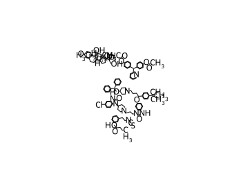 CC(=O)Oc1ccc(C(c2ccc(OC(C)=O)cc2)c2ccccn2)cc1.CC(C)(C)c1ccc(C(=O)CCCN2CCC(OC(c3ccccc3)c3ccccc3)CC2)cc1.CCCC(=O)O.C[C@]12C=CC(=O)C=C1CC[C@@H]1[C@@H]2[C@@H](O)C[C@@]2(C)[C@H]1CC[C@]2(O)C(=O)CO.O=c1[nH]c2ccccc2n1CCCN1CCC(n2c(=O)[nH]c3cc(Cl)ccc32)CC1.S=C=NCCc1ccccc1